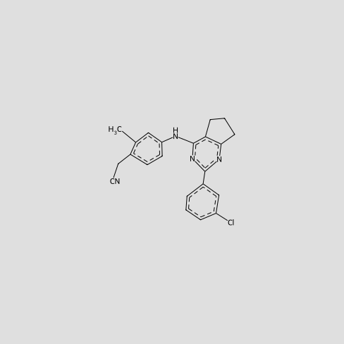 Cc1cc(Nc2nc(-c3cccc(Cl)c3)nc3c2CCC3)ccc1CC#N